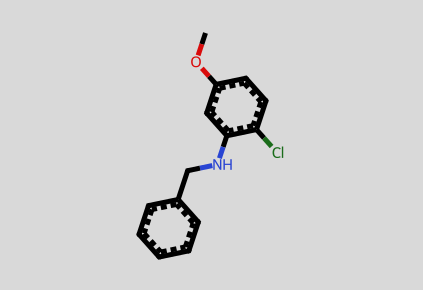 COc1ccc(Cl)c(NCc2ccccc2)c1